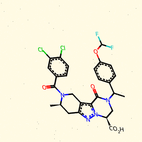 CC(c1ccc(OC(F)F)cc1)N1C[C@@H](C(=O)O)n2nc3c(c2C1=O)CN(C(=O)c1ccc(Cl)c(Cl)c1)[C@H](C)C3